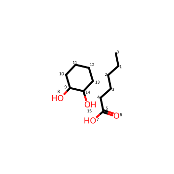 CCCCCC(=O)O.OC1CCCCC1O